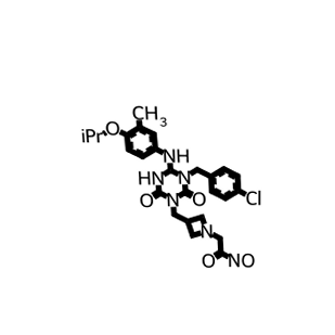 Cc1cc(NC2NC(=O)N(CC3CN(CC(=O)N=O)C3)C(=O)N2Cc2ccc(Cl)cc2)ccc1OC(C)C